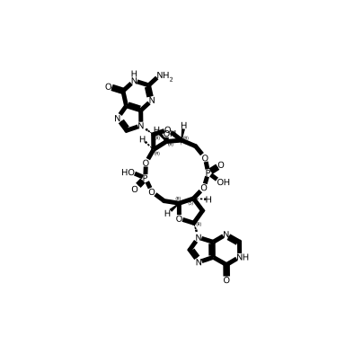 Nc1nc2c(ncn2[C@@H]2O[C@@H]3COP(=O)(O)O[C@H]4C[C@H](n5cnc6c(=O)[nH]cnc65)O[C@@H]4COP(=O)(O)O[C@@H]2[C@@H]3O)c(=O)[nH]1